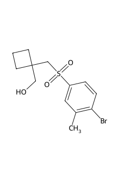 Cc1cc(S(=O)(=O)CC2(CO)CCC2)ccc1Br